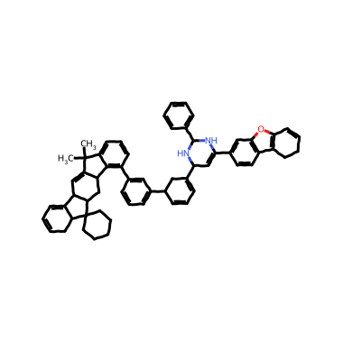 CC1(C)C2=CC3C4=CC=CCC4C4(CCCCC4)C3CC2c2c(-c3cccc(C4C=CC=C(C5C=C(c6ccc7c8c(oc7c6)C=CCC8)NC(c6ccccc6)N5)C4)c3)cccc21